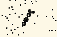 CC1CCN(c2ncc(C3CCN(C(=O)C(C)C)CC3)cn2)CC1